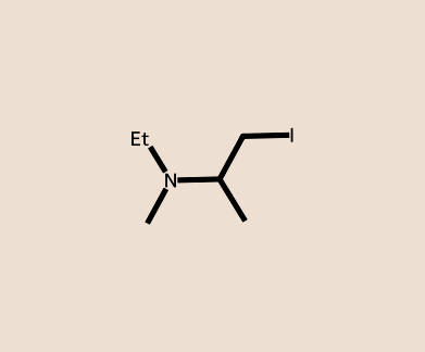 CCN(C)C(C)CI